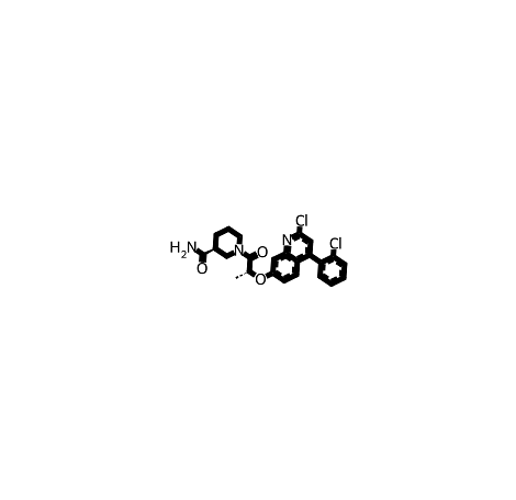 C[C@@H](Oc1ccc2c(-c3ccccc3Cl)cc(Cl)nc2c1)C(=O)N1CCC[C@H](C(N)=O)C1